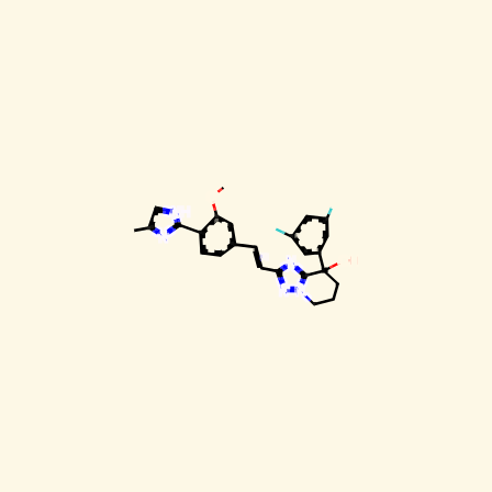 COc1cc(/C=C/c2nc3n(n2)CCCC3(O)c2cc(F)cc(F)c2)ccc1-c1nc(C)c[nH]1